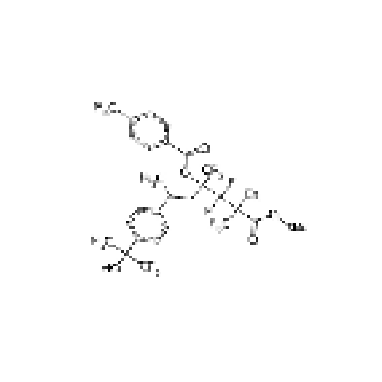 CCC(C(=O)OC(C)(C)C)(C(F)(F)F)C(F)(F)C(CC(C)c1ccc(C(O)(C(F)(F)F)C(F)(F)F)cc1)(OC(=O)c1ccc(C(F)(F)F)cc1)C(F)(F)F